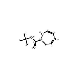 CC(C)(C)OC(=O)N1CC=NC=CO1